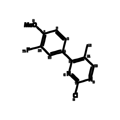 COc1ccc(-c2nc(Cl)ncc2C)cc1F